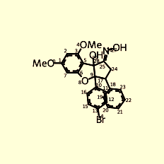 COc1cc(OC)c2c(c1)OC1(c3ccc(Br)cc3)C(c3ccccc3)CC(=NO)C21O